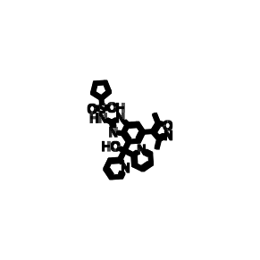 Cc1noc(C)c1-c1cc(C(O)(c2ccccn2)c2ccccn2)c2nc(NS(=O)(=O)C3CCCC3)[nH]c2c1